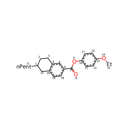 CCCCCC1CCc2cc(C(=O)Oc3ccc(OCC)cc3)ccc2C1